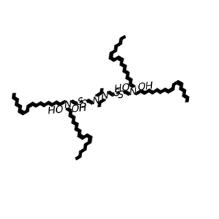 CCCCC/C=C\C/C=C\CCCCCCC(O)CN(CCSSCCN1CC(C)N(CCSSCCN(CC(O)CCCCCC/C=C\C/C=C\CCCCC)CC(O)CCCCCC/C=C\C/C=C\CCCCC)CC1C)CC(O)CCCCCC/C=C\C/C=C\CCCCC